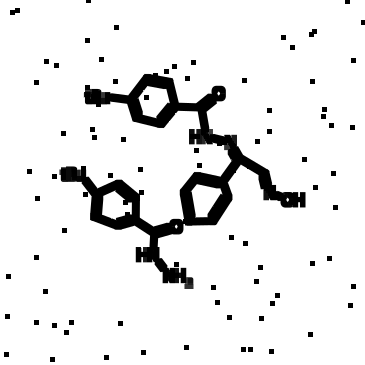 CC(C)(C)c1ccc(C(=O)NN)cc1.CC(C)(C)c1ccc(C(=O)NN=C(C=NO)c2ccccc2)cc1